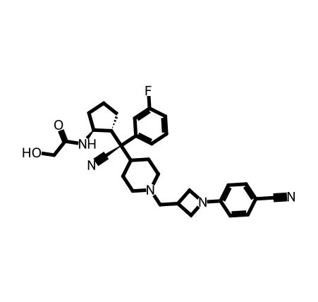 N#Cc1ccc(N2CC(CN3CCC([C@@](C#N)(c4cccc(F)c4)[C@H]4CCC[C@@H]4NC(=O)CO)CC3)C2)cc1